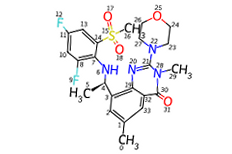 Cc1cc([C@@H](C)Nc2c(F)cc(F)cc2S(C)(=O)=O)c2nc(N3CCOCC3)n(C)c(=O)c2c1